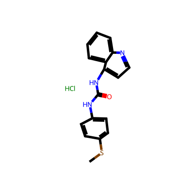 CSc1ccc(NC(=O)Nc2ccnc3ccccc23)cc1.Cl